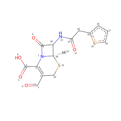 O=CC1=C(C(=O)O)N2C(=O)C(NC(=O)Cc3cccs3)[C@H]2SC1